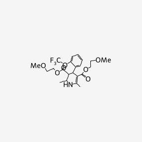 COCCOC(=O)C1=C(C)NC(C)C(C(=O)OCCOC)C1c1ccccc1OC(F)(F)F